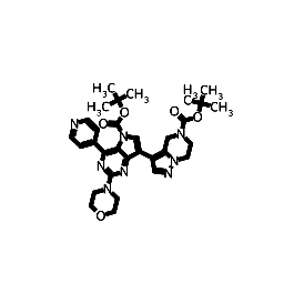 CC(C)(C)OC(=O)N1CCn2ncc(-c3cn(C(=O)OC(C)(C)C)c4c(-c5ccncc5)nc(N5CCOCC5)nc34)c2C1